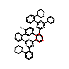 N#Cc1ccc(-c2ccccc2-c2nc(-c3ccccc3)nc(-c3ccccc3C3CCCCC3)n2)cc1-c1ccccc1-c1nc(-c2ccccc2)nc(-c2ccccc2C2CCCCC2)n1